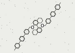 Cc1ccc(-c2ccc(-c3ccc(COc4ccc5c(c4-c4c(OCc6ccc(-c7ccc(-c8ccc(C)cc8)cc7)cc6)ccc6c4CCCC6)CCCC5)cc3)cc2)cc1